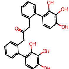 O=C(Cc1ccccc1-c1ccc(O)c(O)c1O)Cc1ccccc1-c1ccc(O)c(O)c1O